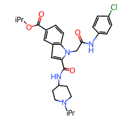 CC(C)OC(=O)c1ccc2c(c1)cc(C(=O)NC1CCN(C(C)C)CC1)n2CC(=O)Nc1ccc(Cl)cc1